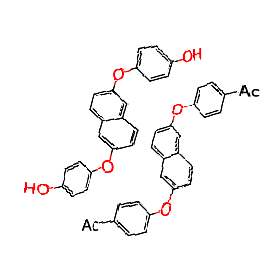 CC(=O)c1ccc(Oc2ccc3cc(Oc4ccc(C(C)=O)cc4)ccc3c2)cc1.Oc1ccc(Oc2ccc3cc(Oc4ccc(O)cc4)ccc3c2)cc1